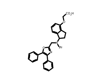 CC(C)N(Cc1nc(-c2ccccc2)c(-c2ccccc2)o1)C1CCc2c(OCC(=O)O)cccc21